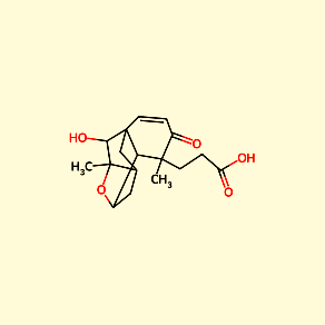 CC1(CCC(=O)O)C(=O)C=CC23CC4CC(OC4(C)C2O)C13